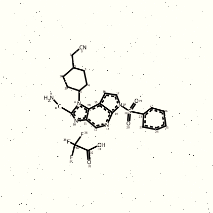 N#CCC1CCC(n2c(CN)nc3cnc4c(ccn4S(=O)(=O)c4ccccc4)c32)CC1.O=C(O)C(F)(F)F